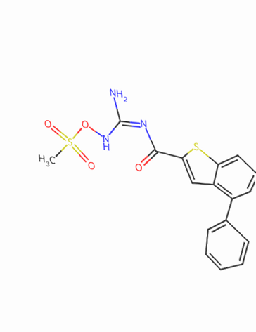 CS(=O)(=O)ONC(N)=NC(=O)c1cc2c(-c3ccccc3)cccc2s1